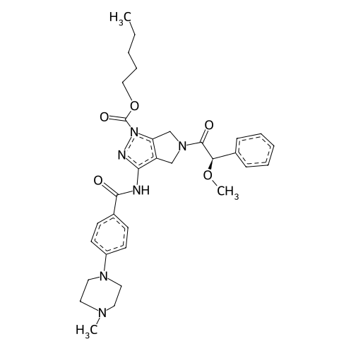 CCCCCOC(=O)n1nc(NC(=O)c2ccc(N3CCN(C)CC3)cc2)c2c1CN(C(=O)[C@H](OC)c1ccccc1)C2